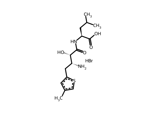 Br.Cc1csc(C[C@@H](N)[C@H](O)C(=O)N[C@@H](CC(C)C)C(=O)O)c1